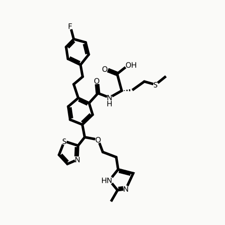 CSCC[C@H](NC(=O)c1cc(C(OCCc2cnc(C)[nH]2)c2nccs2)ccc1CCc1ccc(F)cc1)C(=O)O